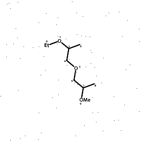 CCOC(C)COCC(C)OC